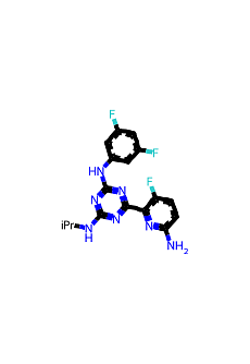 CC(C)Nc1nc(Nc2cc(F)cc(F)c2)nc(-c2nc(N)ccc2F)n1